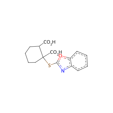 O=C(O)C1CCCCC1(Sc1nc2ccccc2o1)C(=O)O